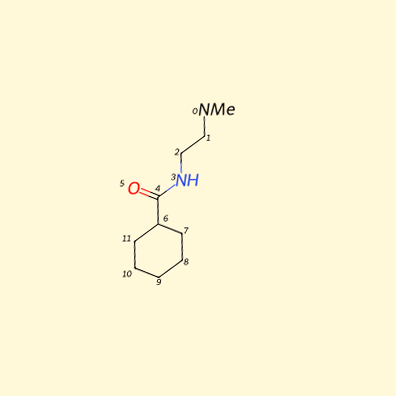 CNCCNC(=O)C1CCCCC1